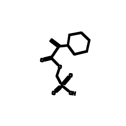 C=C(C(=O)OCS(=O)(=O)O)C1CCCCC1